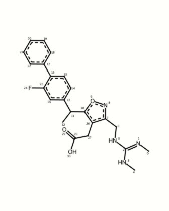 CN=C(NC)NCc1noc(C(C)c2ccc(-c3ccccc3)c(F)c2)c1CC(=O)O